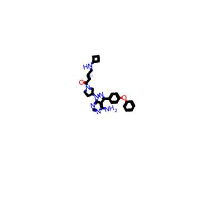 Nc1ncnc2c1c(-c1ccc(Oc3ccccc3)cc1)nn2C1CCN(C(=O)/C=C/CNC2CCC2)C1